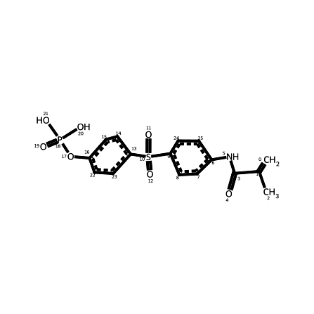 C=C(C)C(=O)Nc1ccc(S(=O)(=O)c2ccc(OP(=O)(O)O)cc2)cc1